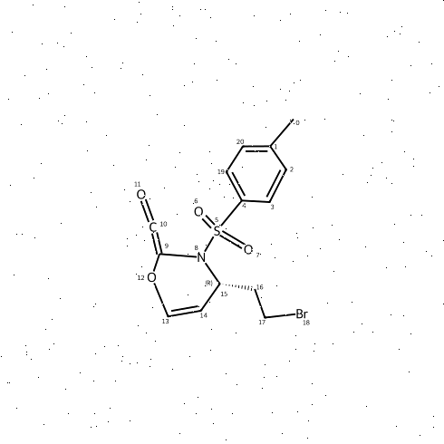 Cc1ccc(S(=O)(=O)N2C(=C=O)OC=C[C@H]2CCBr)cc1